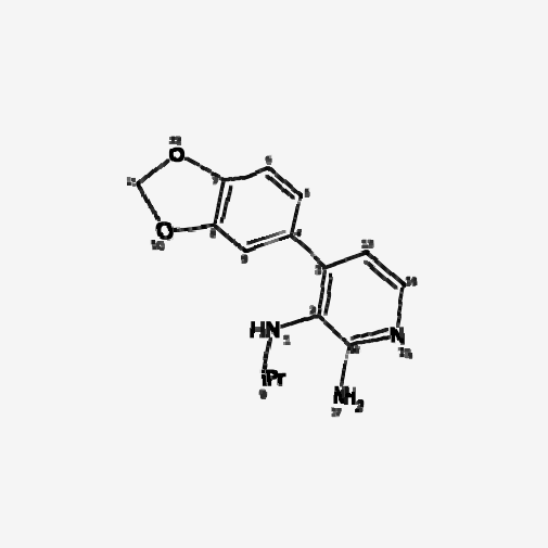 CC(C)Nc1c(-c2ccc3c(c2)OCO3)ccnc1N